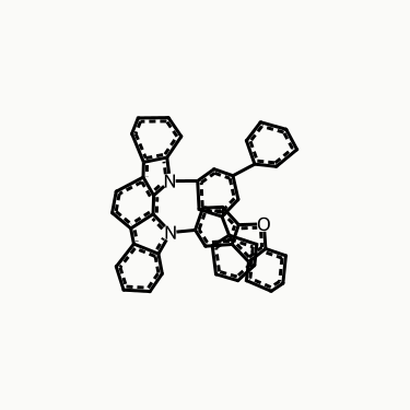 c1ccc(-c2cc(-c3ccccc3)cc(-n3c4ccccc4c4ccc5c6ccccc6n(-c6ccc7oc8ccccc8c7c6)c5c43)c2)cc1